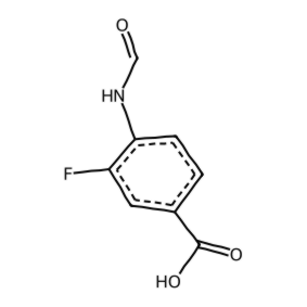 O=CNc1ccc(C(=O)O)cc1F